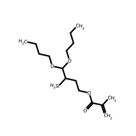 C=C(C)C(=O)OCCC([SiH3])C(OCCCC)OCCCC